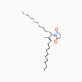 CCCCCCCCCC=C(C)C(CCCCCCCCCCC)N1C(=O)CCC1=O